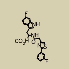 O=C(Cc1csc(-c2cccc(F)c2)n1)NC(Cc1c[nH]c2cc(F)ccc12)C(=O)O